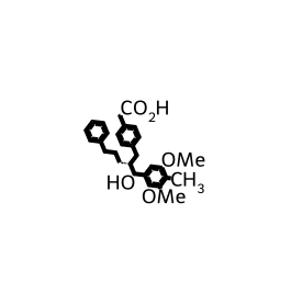 COc1cc([C@H](O)[C@H](CCCc2ccccc2)Cc2ccc(CC(=O)O)cc2)cc(OC)c1C